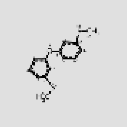 CSc1cccc(Oc2cccc(SC)c2)c1